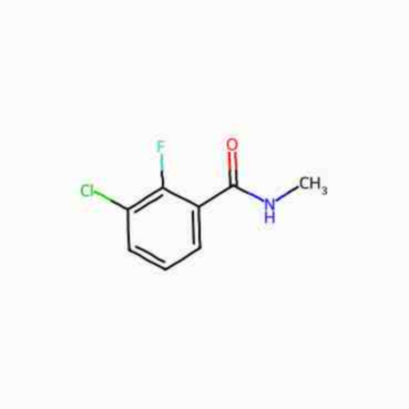 CNC(=O)c1cccc(Cl)c1F